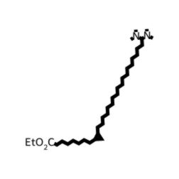 CCOC(=O)CCCCCCCC1CC1CCCCCCCCCCCCCCCCCCC(N(C)C)N(C)C